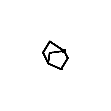 [CH]1CN2CCC1C2